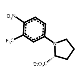 CCOC(=O)[C@H]1CCCN1c1ccc([N+](=O)[O-])c(C(F)(F)F)c1